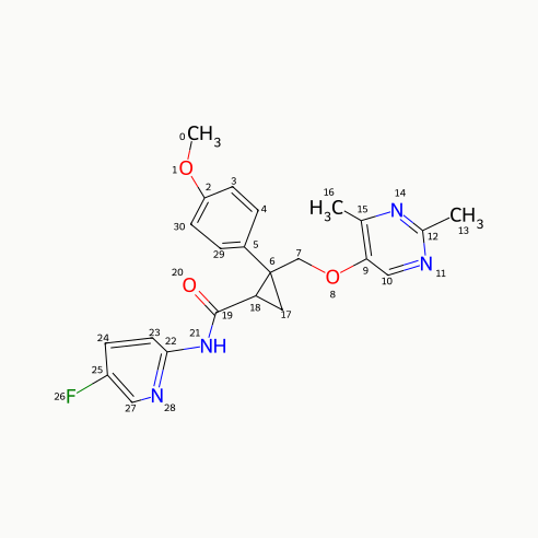 COc1ccc(C2(COc3cnc(C)nc3C)CC2C(=O)Nc2ccc(F)cn2)cc1